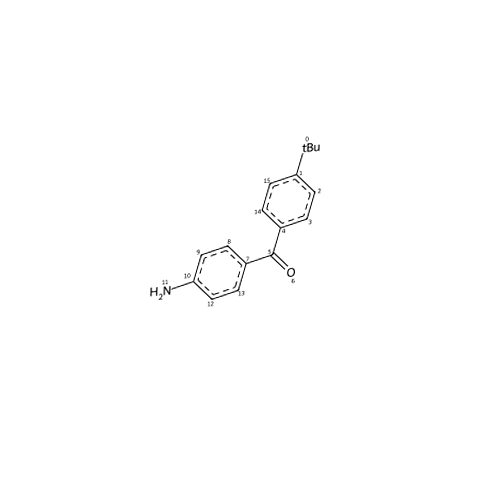 CC(C)(C)c1ccc(C(=O)c2ccc(N)cc2)cc1